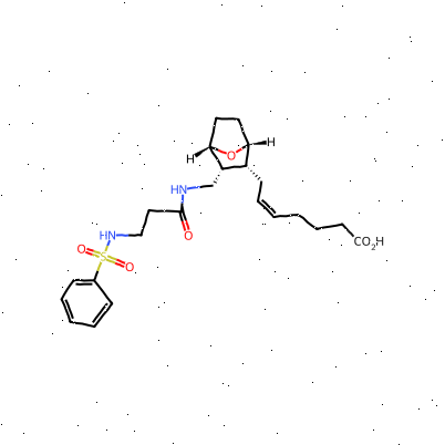 O=C(O)CCC/C=C\C[C@@H]1[C@H](CNC(=O)CCNS(=O)(=O)c2ccccc2)[C@@H]2CC[C@H]1O2